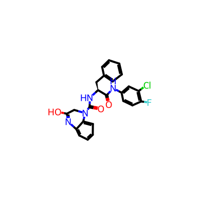 O=C(Nc1ccc(F)c(Cl)c1)[C@H](Cc1ccccc1)NC(=O)N1CC(O)=Nc2ccccc21